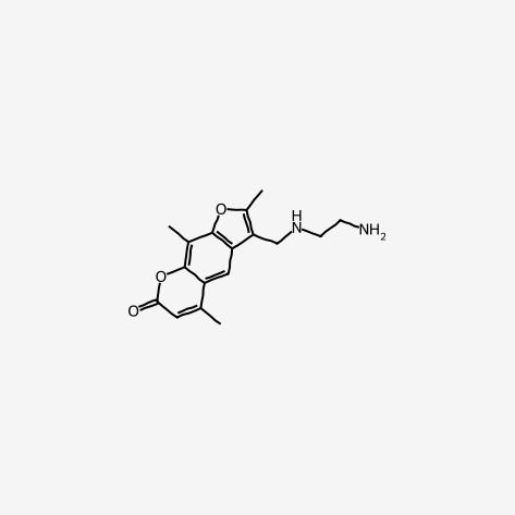 Cc1oc2c(C)c3oc(=O)cc(C)c3cc2c1CNCCN